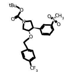 CC(C)(C)OC(=O)N1C[C@@H](OCc2ccc(C(F)(F)F)cc2)[C@H](c2cccc(S(C)(=O)=O)c2)C1